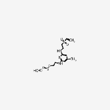 C=CS(=O)(=O)CCNc1cc(C)cc(NCCOSOOO)n1